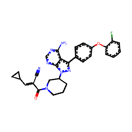 N#CC(=CC1CC1)C(=O)N1CCCC(n2nc(-c3ccc(Oc4ccccc4F)cc3)c3c(N)ncnc32)C1